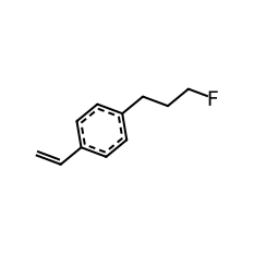 C=Cc1ccc(CCCF)cc1